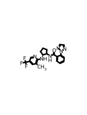 Cc1cc(C(F)(F)F)cnc1N[C@H]1CCCC1NC(=O)c1ccccc1-n1nccn1